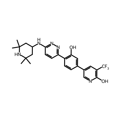 CC1(C)CC(Nc2ccc(-c3ccc(-c4cnc(O)c(C(F)(F)F)c4)cc3O)nn2)CC(C)(C)N1